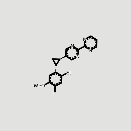 CCc1cc(F)c(OC)cc1[C@@H]1C[C@H]1c1cnc(-c2ncccn2)nc1